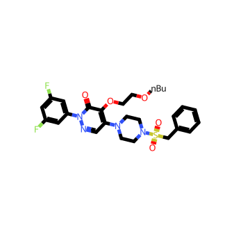 CCCCOCCOc1c(N2CCN(S(=O)(=O)Cc3ccccc3)CC2)cnn(-c2cc(F)cc(F)c2)c1=O